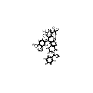 COc1ccc(-c2c(Cl)c(C(N)C(C)(C)C)nc3sc4c(c23)CCN(C(=O)c2ccccc2)C4)cc1OC